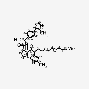 CNCCOCCOCCC(C(=O)C1CCC[C@H]1C(=O)N[C@@H](C)c1ccc(-c2scnc2C)cc1)c1cc(C)no1